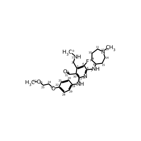 CNCc1c(F)c(NC2CCCN(C)CC2)nc(Nc2ccc(OCCOC)cc2)c1C=O